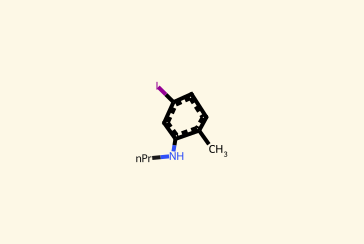 CCCNc1cc(I)ccc1C